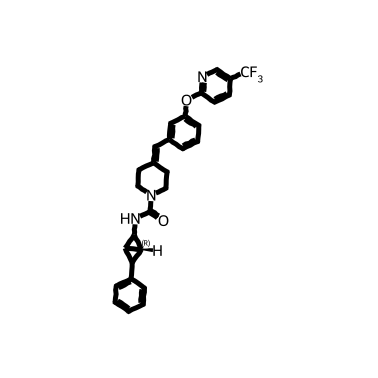 O=C(NC1C2C(c3ccccc3)[C@@H]12)N1CCC(=Cc2cccc(Oc3ccc(C(F)(F)F)cn3)c2)CC1